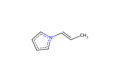 CC=Cn1cccc1